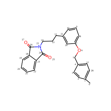 Cc1ccc(COc2cccc(CCCN3C(=O)c4ccccc4C3=O)c2)cc1